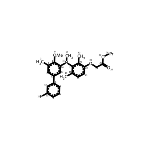 COc1c(C)cc(-c2cccc(F)c2)cc1N(C)c1c(C)ccc(OCC(=O)OC(C)C)c1C